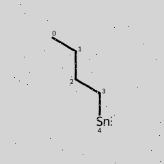 CCC[CH2][Sn]